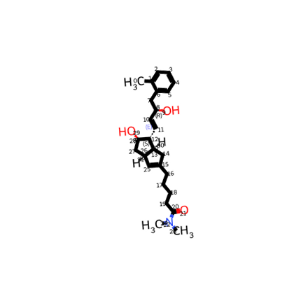 Cc1ccccc1C[C@@H](O)/C=C/[C@@H]1[C@H]2CC(CCCCC(=O)N(C)C)=C[C@H]2C[C@H]1O